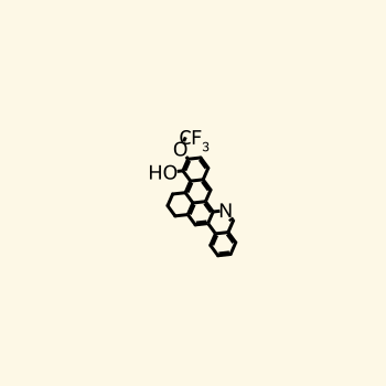 Oc1c(OC(F)(F)F)ccc2cc3c4c(cc5c6ccccc6cnc35)CCCc4c12